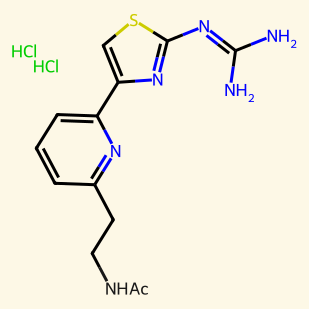 CC(=O)NCCc1cccc(-c2csc(N=C(N)N)n2)n1.Cl.Cl